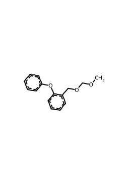 COCOCc1ccccc1Oc1ccccc1